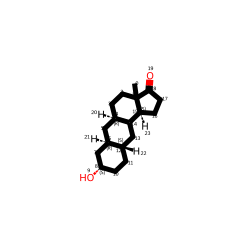 CC12CC[C@@H]3C[C@@H]4C[C@@H](O)CC[C@H]4CC3[C@@H]1CCC2=O